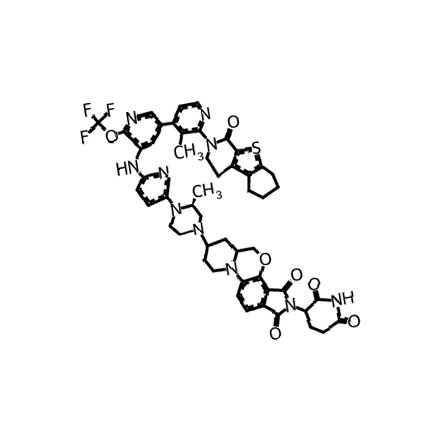 Cc1c(-c2cnc(OC(F)(F)F)c(Nc3ccc(N4CCN(C5CCN6c7ccc8c(c7OCC6C5)C(=O)N(C5CCC(=O)NC5=O)C8=O)C[C@@H]4C)cn3)c2)ccnc1N1CCc2c(sc3c2CCCC3)C1=O